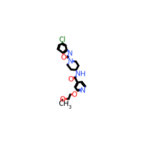 COCCOc1cc(C(=O)NC2CCN(c3nc4cc(Cl)ccc4o3)CC2)ccn1